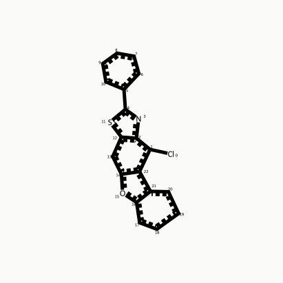 Clc1c2nc(-c3ccccc3)sc2cc2oc3ccccc3c12